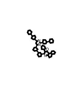 c1ccc(-c2ccc(-c3cc(-c4cccc(-c5cccc(-c6nc7ccc8ccccc8c7c7oc8ccccc8c67)c5)c4)nc(-c4ccc(-c5ccccc5)cc4)n3)cc2)cc1